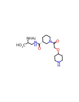 CC(=O)N[C@@H](CNC(=O)[C@@H]1CCCN(C(=O)COC2CCNCC2)C1)C(=O)O